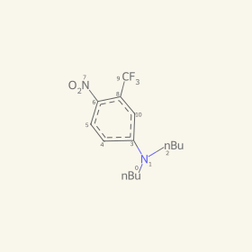 CCCCN(CCCC)c1ccc([N+](=O)[O-])c(C(F)(F)F)c1